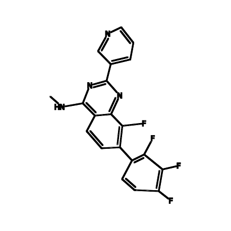 CNc1nc(-c2cccnc2)nc2c(F)c(-c3ccc(F)c(F)c3F)ccc12